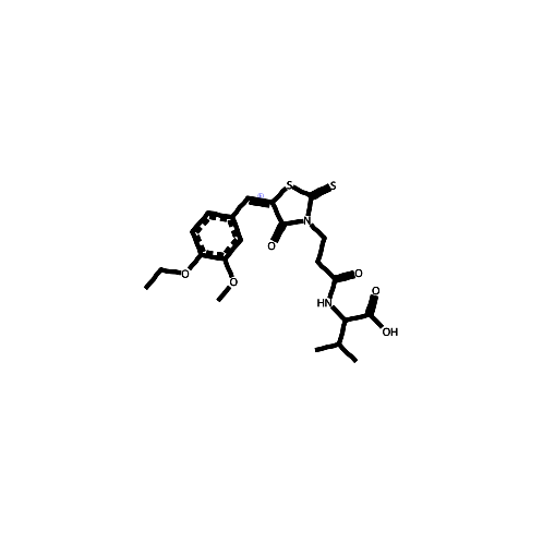 CCOc1ccc(/C=C2/SC(=S)N(CCC(=O)NC(C(=O)O)C(C)C)C2=O)cc1OC